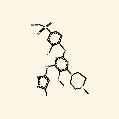 CCS(=O)(=O)c1ccc(Sc2nc(Nc3cc(C)[nH]n3)c(OC)c(N3CCN(C)CC3)n2)c(Cl)c1